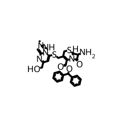 CN1C=C2N=C(CO)C=C(SCC3=C(C(=O)OC(c4ccccc4)c4ccccc4)N4C(=O)C(N)[C@H]4SC3)N2N1